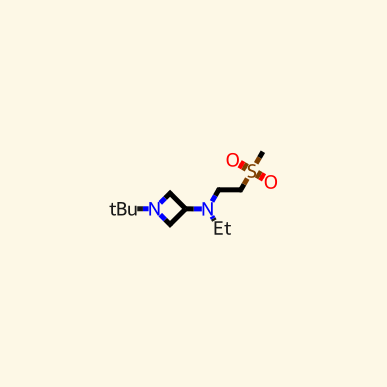 CCN(CCS(C)(=O)=O)C1CN(C(C)(C)C)C1